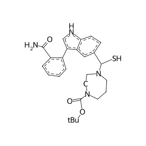 CC(C)(C)OC(=O)N1CCCN(C(S)c2ccc3[nH]cc(-c4ccccc4C(N)=O)c3c2)CC1